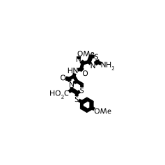 CON=C(C(=O)NC1C(=O)N2C(C(=O)O)=C(Sc3ccc(OC)cc3)SCC12)c1csc(N)n1